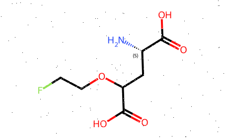 N[C@@H](CC(OCCF)C(=O)O)C(=O)O